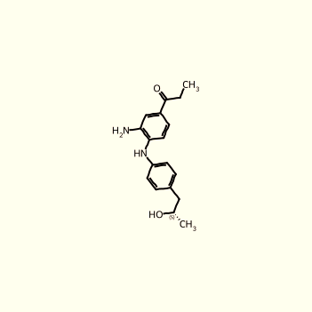 CCC(=O)c1ccc(Nc2ccc(C[C@H](C)O)cc2)c(N)c1